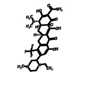 CCN1CCN(C)CC1c1cc(O)c2c(c1C(F)(F)F)C[C@H]1C[C@H]3[C@H](N(C)C)C(O)=C(C(N)=O)C(=O)[C@@]3(Cl)C(O)=C1C2=O